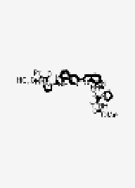 COC(=O)N[C@H](C(=O)N1CCC[C@H]1c1nc2ccc3cc(-c4cc5ccc6nc([C@@H]7CCCN7C(=O)[C@@H](NC(=O)O)C(C)C)[nH]c6c5cn4)oc3c2[nH]1)C(C)C